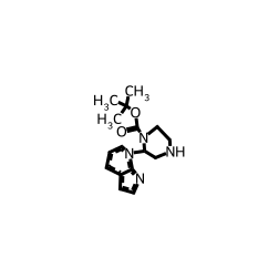 CC(C)(C)OC(=O)N1CCNCC1n1cccc2ccnc1-2